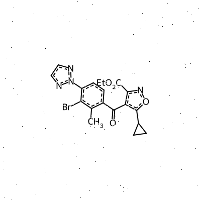 CCOC(=O)c1noc(C2CC2)c1C(=O)c1ccc(-n2nccn2)c(Br)c1C